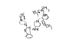 COc1cccc(N(C)C)c1CN1CCC(Nc2nc(N3CCCN(C)CC3)nc3ccccc23)CC1